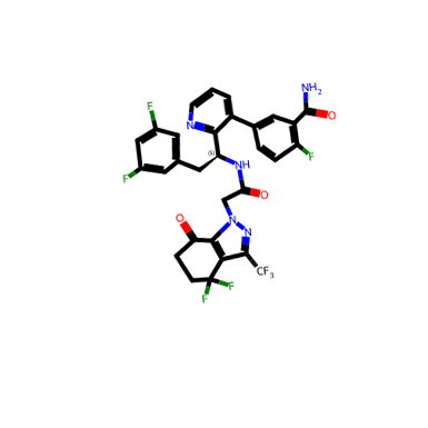 NC(=O)c1cc(-c2cccnc2[C@H](Cc2cc(F)cc(F)c2)NC(=O)Cn2nc(C(F)(F)F)c3c2C(=O)CCC3(F)F)ccc1F